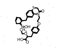 CCOC(Cc1ccc(OCCN2C(=O)CSc3ccc(CC4=CC=CCC4=NO)cc32)cc1)C(=O)O